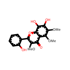 COc1c(O)c(O)c2oc(-c3ccccc3O)c(OC)c(=O)c2c1OC